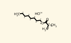 CCCCCCCCOC(=O)[C@H](C)N.Cl